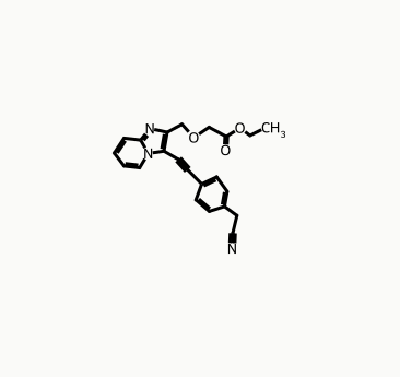 CCOC(=O)COCc1nc2ccccn2c1C#Cc1ccc(CC#N)cc1